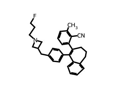 Cc1cccc(C2=C(c3ccc(CC4CN(CCCF)C4)cc3)c3ccccc3CCC2)c1C#N